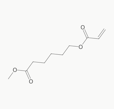 C=CC(=O)OCCCCCC(=O)OC